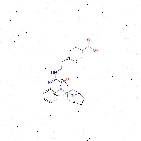 O=C(O)C1CCN(CCNc2nc3ccccc3n(C3CC4CCC(C3)N4C3CCCCCCC3)c2=O)CC1